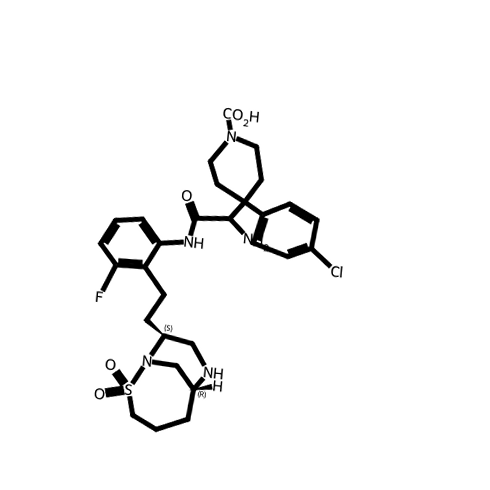 NC(C(=O)Nc1cccc(F)c1CC[C@H]1CN[C@@H]2CCCS(=O)(=O)N1C2)C1(c2ccc(Cl)cc2)CCN(C(=O)O)CC1